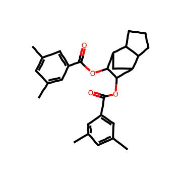 Cc1cc(C)cc(C(=O)OC2C3CC(C4CCCC43)C2OC(=O)c2cc(C)cc(C)c2)c1